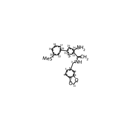 C=C(NCc1ccc2c(c1)OCO2)c1sc(-c2cccc(SC)c2)cc1N